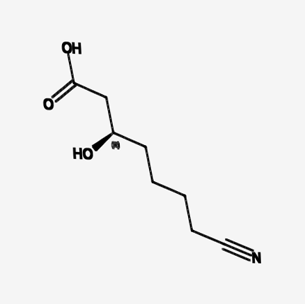 N#CCCCC[C@@H](O)CC(=O)O